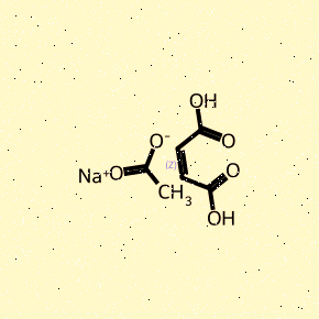 CC(=O)[O-].O=C(O)/C=C\C(=O)O.[Na+]